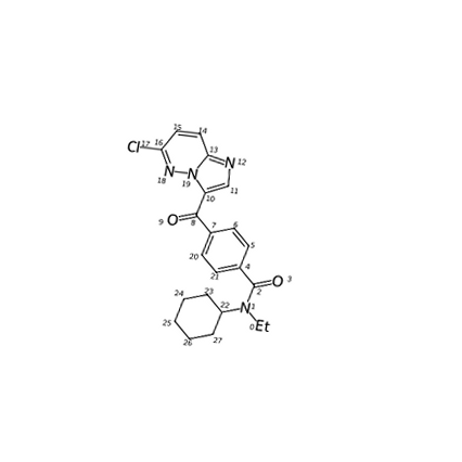 CCN(C(=O)c1ccc(C(=O)c2cnc3ccc(Cl)nn23)cc1)C1CCCCC1